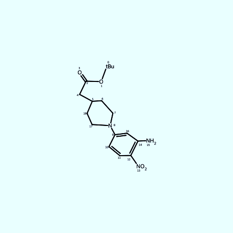 CC(C)(C)OC(=O)CC1CCN(c2ccc([N+](=O)[O-])c(N)c2)CC1